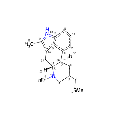 CCCN1CC(CSC)C[C@@H]2c3cccc4[nH]c(C)c(c34)C[C@H]21